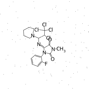 CN1C(=O)C(=NC(C(Cl)C(Cl)(Cl)Cl)N2CCCCC2)N(c2ccccc2F)C1=O